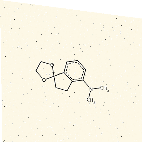 CN(C)c1cccc2c1CCC21OCCO1